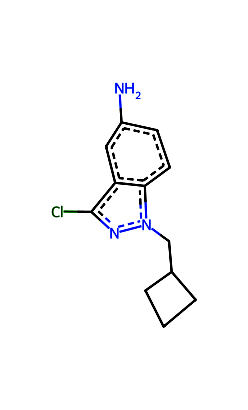 Nc1ccc2c(c1)c(Cl)nn2CC1CCC1